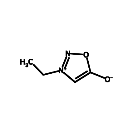 CC[n+]1cc([O-])on1